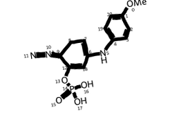 COc1ccc(NC2=CCC(=[N+]=[N-])C(OP(=O)(O)O)=C2)cc1